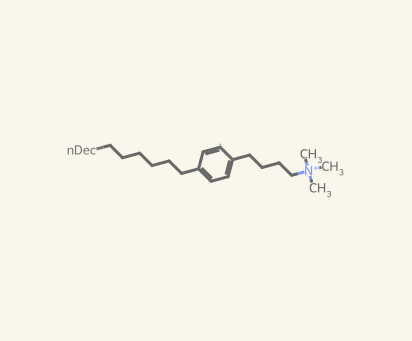 CCCCCCCCCCCCCCCCc1c[c]c(CCCC[N+](C)(C)C)cc1